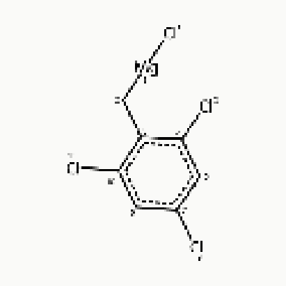 [Cl][Mg][CH2]c1c(Cl)cc(Cl)cc1Cl